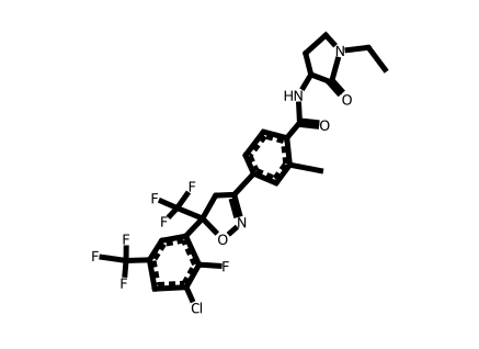 CCN1CCC(NC(=O)c2ccc(C3=NOC(c4cc(C(F)(F)F)cc(Cl)c4F)(C(F)(F)F)C3)cc2C)C1=O